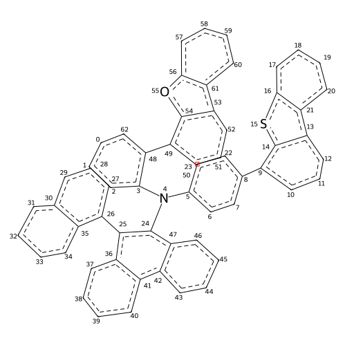 c1ccc(N(c2ccc(-c3cccc4c3sc3ccccc34)cc2)c2c(-c3cccc4ccccc34)c3ccccc3c3ccccc23)c(-c2cccc3c2oc2ccccc23)c1